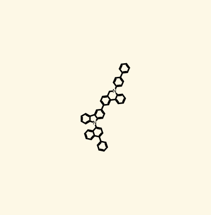 c1ccc(-c2ccc(N3Cc4ccc(-c5ccc6c(c5)c5ccccc5n6-c5ccc(-c6ccccc6)c6ccccc56)cc4-c4ccccc43)cc2)cc1